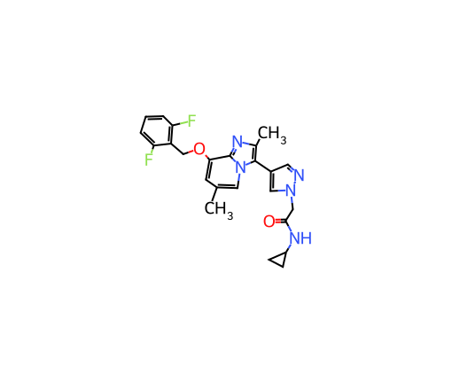 Cc1cc(OCc2c(F)cccc2F)c2nc(C)c(-c3cnn(CC(=O)NC4CC4)c3)n2c1